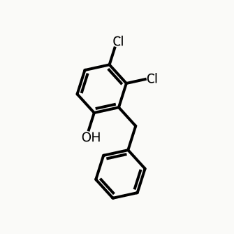 Oc1ccc(Cl)c(Cl)c1Cc1ccccc1